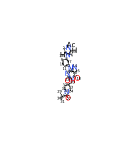 CC(=O)N1C[C@@H]2C[C@H]1CN2c1cccc(-n2ncc3c(=O)n(CC4(O)CCN(C(=O)C5(C)CC5)CC4)cnc32)c1